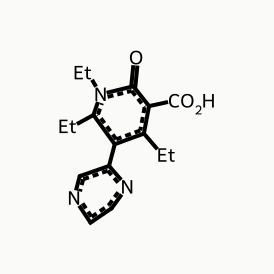 CCc1c(-c2cnccn2)c(CC)n(CC)c(=O)c1C(=O)O